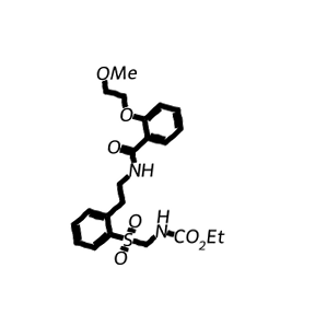 CCOC(=O)NCS(=O)(=O)c1ccccc1CCNC(=O)c1ccccc1OCCOC